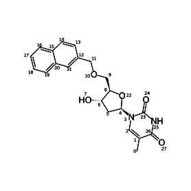 Cc1cn([C@H]2C[C@H](O)[C@@H](COCc3ccc4ccccc4c3)O2)c(=O)[nH]c1=O